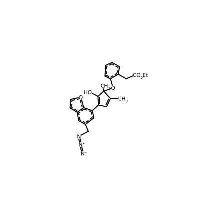 CCOC(=O)Cc1ccccc1OC1(C)C(C)=CC(c2cc(CN=[N+]=[N-])cc3ccoc23)=C1O